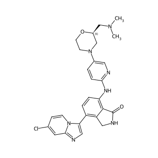 CN(C)C[C@H]1CN(c2ccc(Nc3ccc(-c4cnc5cc(Cl)ccn45)c4c3C(=O)NC4)nc2)CCO1